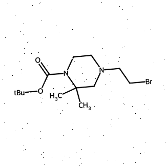 CC(C)(C)OC(=O)N1CCN(CCBr)CC1(C)C